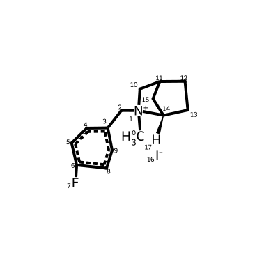 C[N+]1(Cc2ccc(F)cc2)CC2CC[C@H]1C2.[I-]